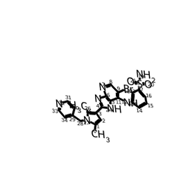 Cc1cc(-c2nc3ncc(Br)c(Nc4cccc(S(N)(=O)=O)c4)c3[nH]2)c(C)n1Cc1ccncc1